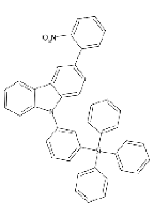 O=[N+]([O-])c1ccccc1-c1ccc2c(c1)c1ccccc1n2-c1cccc([Si](c2ccccc2)(c2ccccc2)c2ccccc2)c1